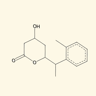 Cc1ccccc1C(C)C1CC(O)CC(=O)O1